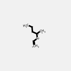 C=C[N]C(C)CCC